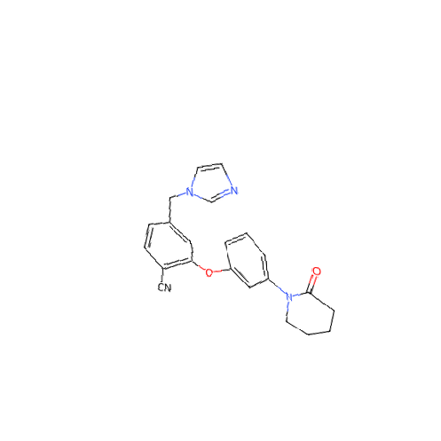 N#Cc1ccc(Cn2ccnc2)cc1Oc1cccc(N2CCCCC2=O)c1